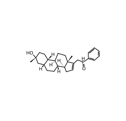 C[C@@]1(O)CC[C@H]2[C@H](CC[C@@H]3[C@@H]2CC[C@]2(C)C(C[PH](=O)c4ccccc4)=CC[C@@H]32)C1